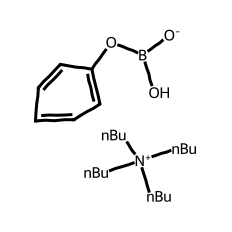 CCCC[N+](CCCC)(CCCC)CCCC.[O-]B(O)Oc1ccccc1